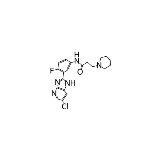 O=C(CCN1CCCCC1)Nc1ccc(F)c(-c2nc3ncc(Cl)cc3[nH]2)c1